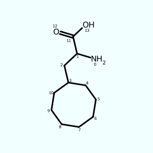 NC(CC1CCCCCCC1)C(=O)O